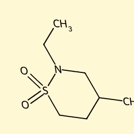 CCN1CC(C)CCS1(=O)=O